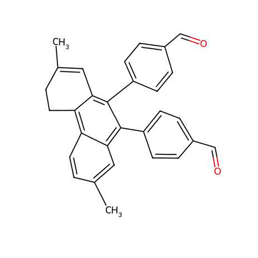 CC1=Cc2c(-c3ccc(C=O)cc3)c(-c3ccc(C=O)cc3)c3cc(C)ccc3c2CC1